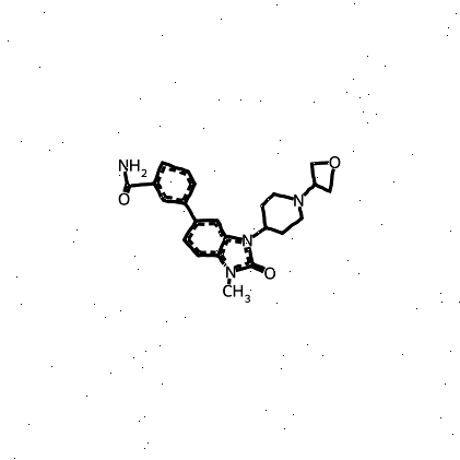 Cn1c(=O)n(C2CCN(C3COC3)CC2)c2cc(-c3cccc(C(N)=O)c3)ccc21